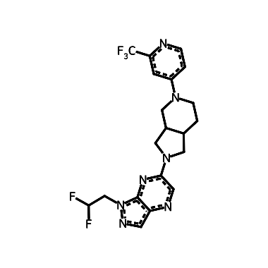 FC(F)Cn1ncc2ncc(N3CC4CCN(c5ccnc(C(F)(F)F)c5)CC4C3)nc21